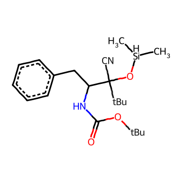 C[SiH](C)OC(C#N)(C(Cc1ccccc1)NC(=O)OC(C)(C)C)C(C)(C)C